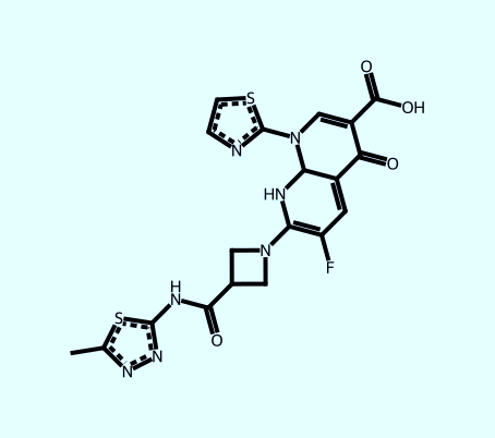 Cc1nnc(NC(=O)C2CN(C3=C(F)C=C4C(=O)C(C(=O)O)=CN(c5nccs5)C4N3)C2)s1